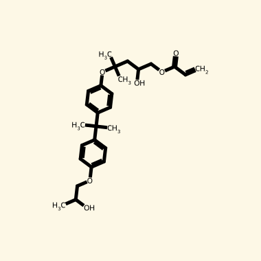 C=CC(=O)OCC(O)CC(C)(C)Oc1ccc(C(C)(C)c2ccc(OCC(C)O)cc2)cc1